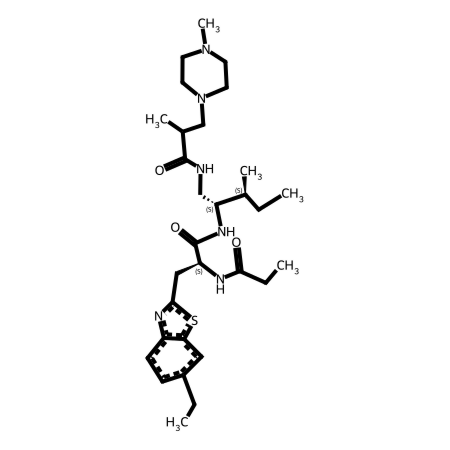 CCC(=O)N[C@@H](Cc1nc2ccc(CC)cc2s1)C(=O)N[C@H](CNC(=O)C(C)CN1CCN(C)CC1)[C@@H](C)CC